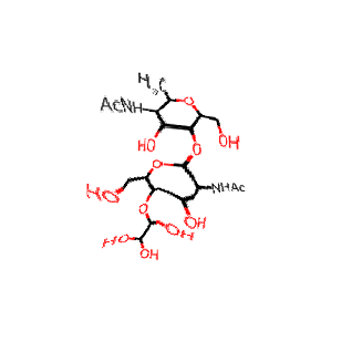 CC(=O)NC1C(C)OC(CO)C(OC2OC(CO)C(OC(O)C(O)O)C(O)C2NC(C)=O)C1O